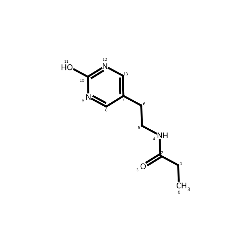 CCC(=O)NCCc1cnc(O)nc1